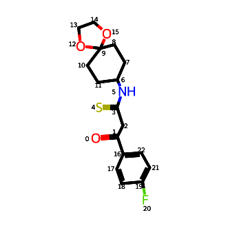 O=C(CC(=S)NC1CCC2(CC1)OCCO2)c1ccc(F)cc1